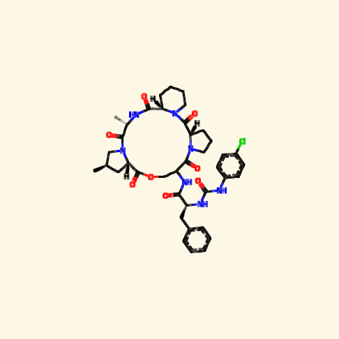 C[C@@H]1C[C@H]2C(=O)OCC(NC(=O)[C@H](Cc3ccccc3)NC(=O)Nc3ccc(Cl)cc3)C(=O)N3CCC[C@H]3C(=O)N3CCCC[C@H]3C(=O)N[C@@H](C)C(=O)N2C1